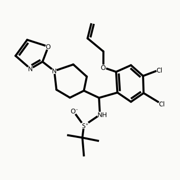 C=CCOc1cc(Cl)c(Cl)cc1C(N[S+]([O-])C(C)(C)C)C1CCN(c2ncco2)CC1